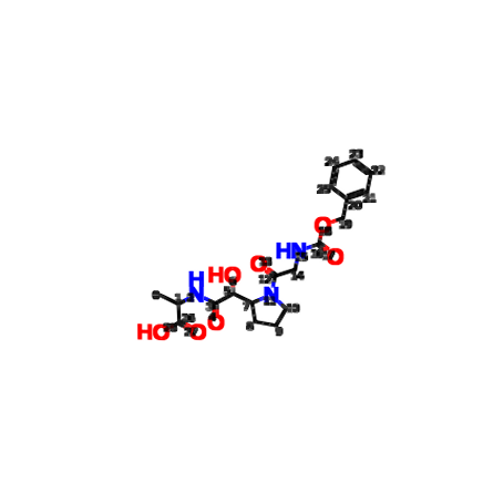 CC(NC(=O)C(O)C1CCCN1C(=O)CNC(=O)OCc1ccccc1)C(=O)O